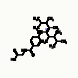 C/C(=C(/Nc1ccc(C(=O)NCC(=O)O)cc1)C(C)C(C)C(C)C)C(C)C(C)C